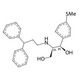 CSc1ccc([C@@H](O)[C@@H](CO)NCCC(c2ccccc2)c2ccccc2)cc1